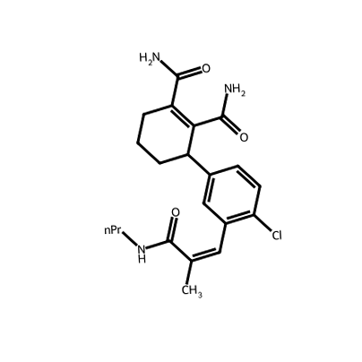 CCCNC(=O)C(C)=Cc1cc(C2CCCC(C(N)=O)=C2C(N)=O)ccc1Cl